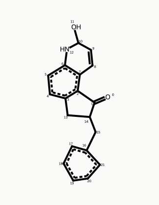 O=C1c2c(ccc3c2C=CC(O)N3)CC1Cc1ccccc1